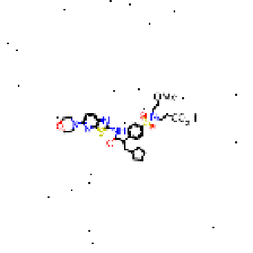 COCCN(CCC(=O)O)S(=O)(=O)c1ccc(C(CC2CCCC2)C(=O)Nc2nc3ccc(N4CCOCC4)nc3s2)cc1